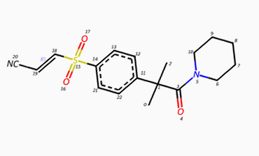 CC(C)(C(=O)N1CCCCC1)c1ccc(S(=O)(=O)/C=C/C#N)cc1